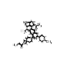 C=CC(=O)N1CC2(CCN(c3nc(C4CCN(C)CC4)nc4c(OCC(F)(F)F)c(-c5cncc6[nH]ncc56)c(C=C)cc34)CC2)C1